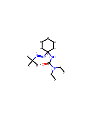 CCN(CC)C(=O)NC1(N=NC(C)(C)C)CCCCC1